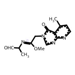 CO/C(Cn1cnc2nccc(C)c2c1=O)=N\C(C)C=O